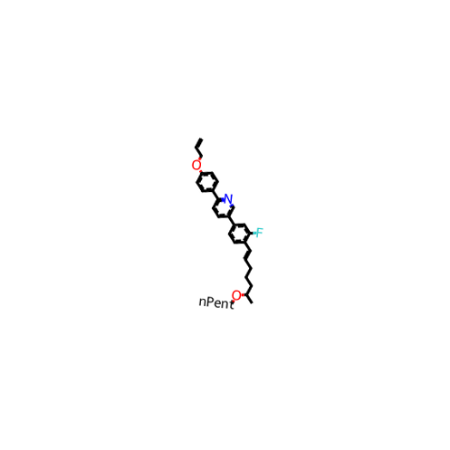 C=CCOc1ccc(-c2ccc(-c3ccc(C=CCCCC(C)OCCCCC)c(F)c3)cn2)cc1